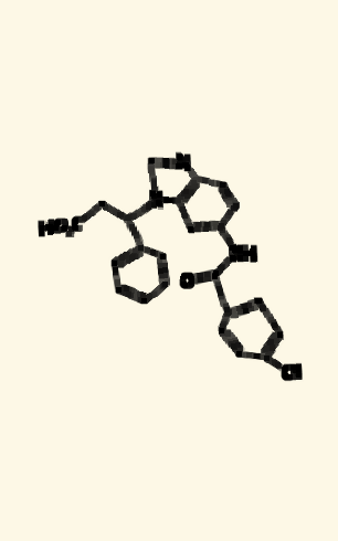 N#Cc1ccc(C(=O)Nc2ccc3ncn(C(CC(=O)O)c4ccccc4)c3c2)cc1